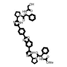 COC(=O)N[C@@H](C(=O)N1CCCC1c1ncc(-c2ccc3oc(-c4ccc(-c5cnc(C6CCCN6C(=O)[C@H](NC(=O)CO)c6ccccc6)[nH]5)cc4)nc3c2)[nH]1)c1ccccc1